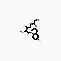 CC(CNC(=O)CS)C(C)CN1CCCc2cc(Cl)ccc21